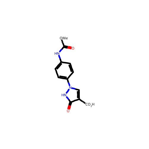 COC(=O)Nc1ccc(-n2cc(C(=O)O)c(=O)[nH]2)cc1